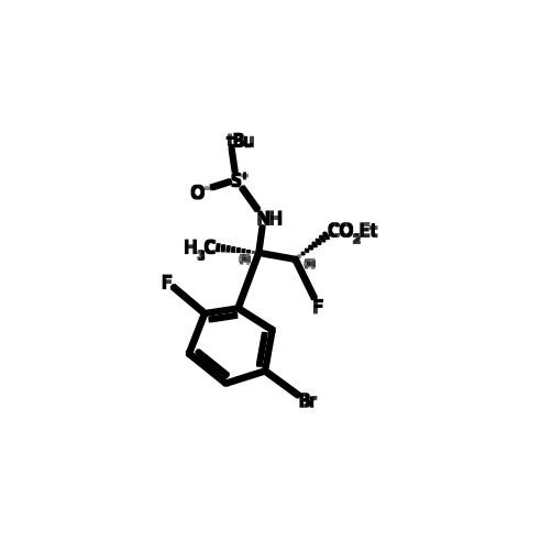 CCOC(=O)[C@H](F)[C@](C)(N[S+]([O-])C(C)(C)C)c1cc(Br)ccc1F